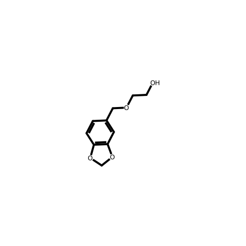 OCCOCc1ccc2c(c1)OCO2